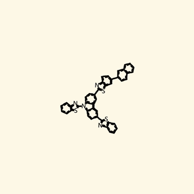 c1ccc2cc(-c3ccc4nc(-c5ccc6c(c5)c5cc(-c7nc8ccccc8s7)ccc5n6-c5nc6ccccc6s5)sc4c3)ccc2c1